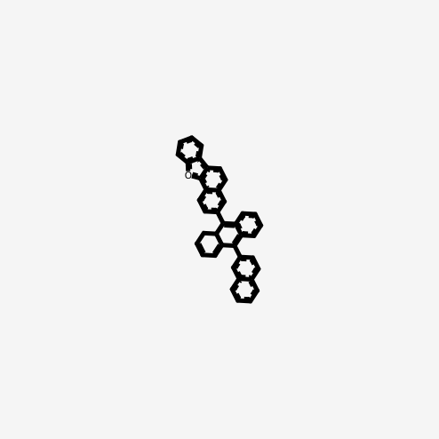 C1=CCC2C(=C1)C(c1ccc3ccccc3c1)=c1ccccc1=C2c1ccc2c(ccc3c4ccccc4oc23)c1